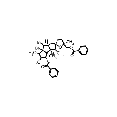 CC1C(C)C2(Br)C(Br)[C@@H]3O[C@]4(CC[C@@](C)(COC(=O)c5ccccc5)O4)[C@@H](C)[C@@H]3[C@@]2(C)[C@@H]1OC(=O)c1ccccc1